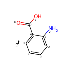 Nc1ccccc1C(=O)O.[Li]